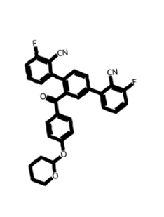 N#Cc1c(F)cccc1-c1ccc(-c2cccc(F)c2C#N)c(C(=O)c2ccc(OC3CCCCO3)cc2)c1